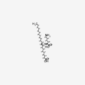 CCCCCCCCCCCCCCCCCCCCCC(=O)O.NCCCCC(N)C(=O)O